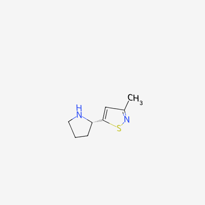 Cc1cc([C@@H]2CCCN2)sn1